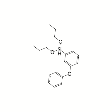 CCCO[SiH](OCCC)c1cccc(Oc2ccccc2)c1